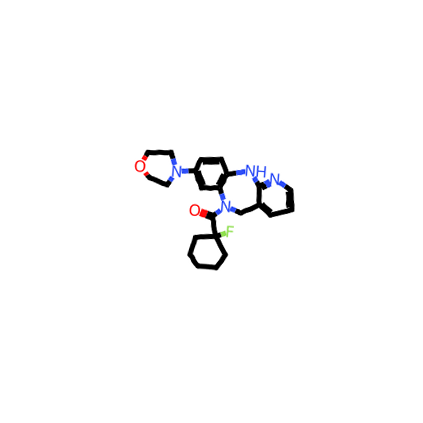 O=C(N1Cc2cccnc2Nc2ccc(N3CCOCC3)cc21)C1(F)CCCCC1